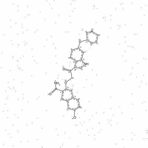 NC(=O)c1cc2cc(Cl)ncc2cc1OCC(=O)c1c[nH]c2cc(Oc3cccnc3)ccc12